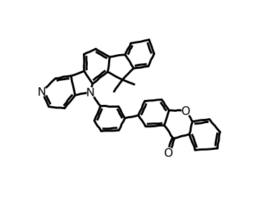 CC1(C)c2ccccc2-c2ccc3c4cnccc4n(-c4cccc(-c5ccc6oc7ccccc7c(=O)c6c5)c4)c3c21